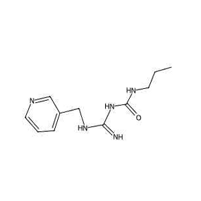 CCCNC(=O)NC(=N)NCc1cccnc1